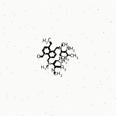 C=C/C(=C(/N)C(C)C)N(C)Cc1ccc(CN(C)C(=C/C)/C(=C\C)N=C)c2c(C=O)ccc(C=C)c12